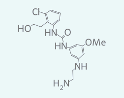 COc1cc(NCCN)cc(NC(=O)Nc2cccc(Cl)c2CCO)c1